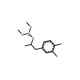 CO[SiH](OC)OC(C)Cc1ccc(F)c(F)c1